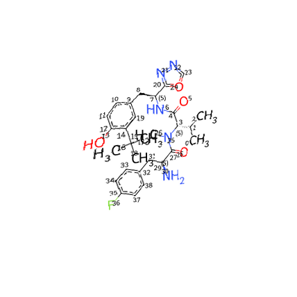 CC(C)[C@@H](C(=O)N[C@@H](Cc1ccc(O)c(C(C)(C)C)c1)c1nnco1)N(C)C(=O)[C@@H](N)Cc1ccc(F)cc1